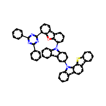 c1ccc(-c2nc(-c3ccccc3)nc(-c3cccc4c3oc3c(-n5c6ccccc6c6cc(-n7c8ccccc8c8ccc9c%10ccccc%10sc9c87)ccc65)cccc34)n2)cc1